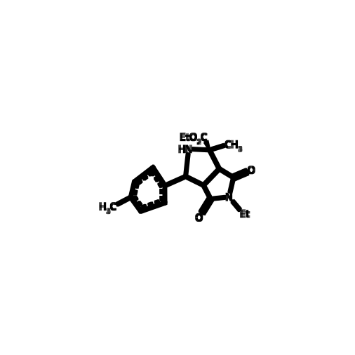 CCOC(=O)[C@]1(C)NC(c2ccc(C)cc2)C2C(=O)N(CC)C(=O)C21